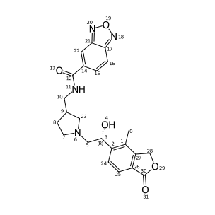 Cc1c([C@@H](O)CN2CCC(CNC(=O)c3ccc4nonc4c3)C2)ccc2c1COC2=O